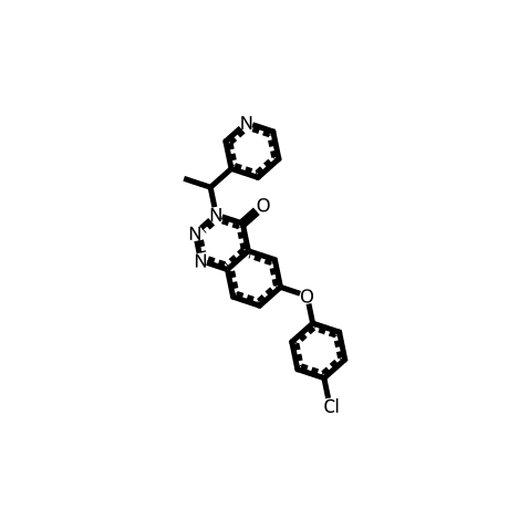 CC(c1cccnc1)n1nnc2ccc(Oc3ccc(Cl)cc3)cc2c1=O